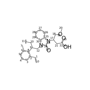 C=Cc1cccc(C)c1C(CI)Cn1c(=O)n(C(COC)CC(=O)O)c2ccccc21